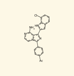 CC(=O)c1ccc(-c2nc(-c3cc4cccc(Cl)c4[nH]3)c3c(N)nccn23)cc1